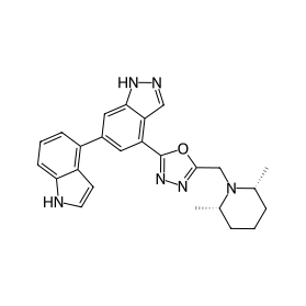 C[C@@H]1CCC[C@H](C)N1Cc1nnc(-c2cc(-c3cccc4[nH]ccc34)cc3[nH]ncc23)o1